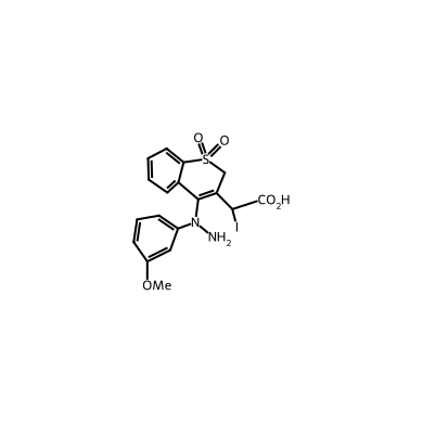 COc1cccc(N(N)C2=C(C(I)C(=O)O)CS(=O)(=O)c3ccccc32)c1